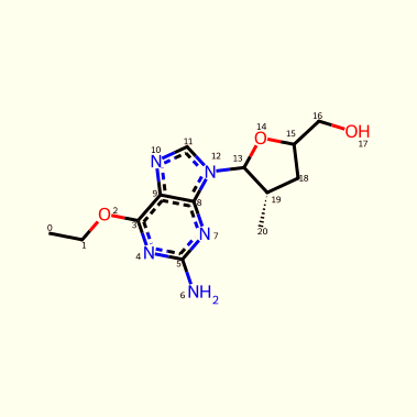 CCOc1nc(N)nc2c1ncn2C1OC(CO)C[C@@H]1C